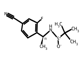 C[C@H](N[S+]([O-])C(C)(C)C)c1ccc(C#N)cc1F